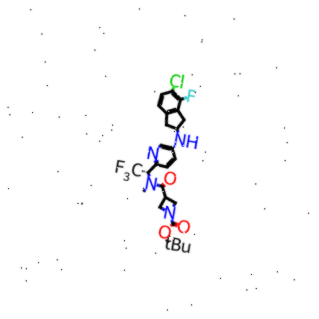 CN(C(=O)C1CN(C(=O)OC(C)(C)C)C1)[C@@H](c1ccc(NC2Cc3ccc(Cl)c(F)c3C2)cn1)C(F)(F)F